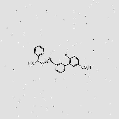 CN(SN1C=C1c1cccc(-c2cc(C(=O)O)ccc2F)c1)c1ccccc1